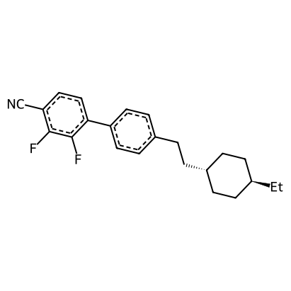 CC[C@H]1CC[C@H](CCc2ccc(-c3ccc(C#N)c(F)c3F)cc2)CC1